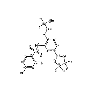 CC1(C)OB(c2cnc(CO[Si](C)(C)C(C)(C)C)c(NS(=O)(=O)c3ccc(F)cc3Cl)c2)OC1(C)C